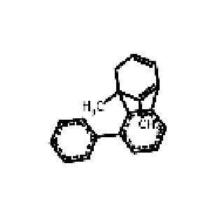 CC1=C2C=CCC1(C)c1c2cccc1-c1ccccc1